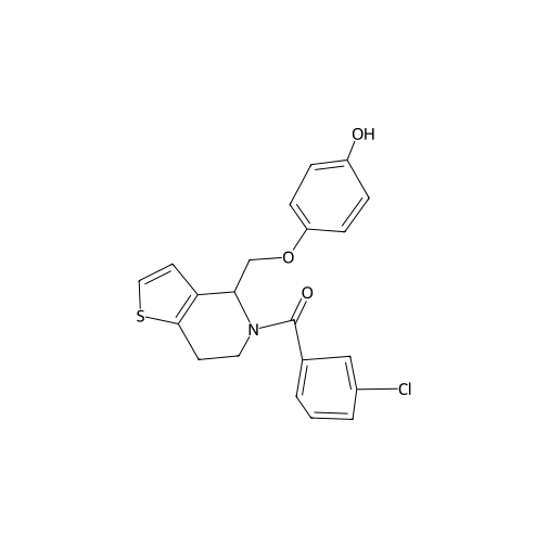 O=C(c1cccc(Cl)c1)N1CCc2sccc2C1COc1ccc(O)cc1